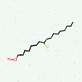 CCCCCCCCCC(S)CCCCCCCOO